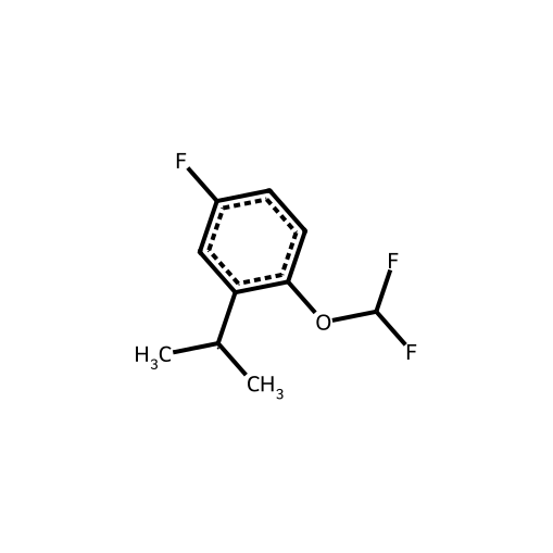 C[C](C)c1cc(F)ccc1OC(F)F